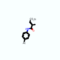 CC(=O)c1ccc(NC(=O)C(C)=CC(=O)O)cc1